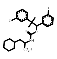 CC(C)(c1cccc(Cl)c1)C(OC(=O)NC(CC1CCCCC1)C(=O)O)c1cccc(F)c1